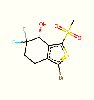 CS(=O)(=O)c1sc(Br)c2c1[C@@H](O)C(F)(F)CC2